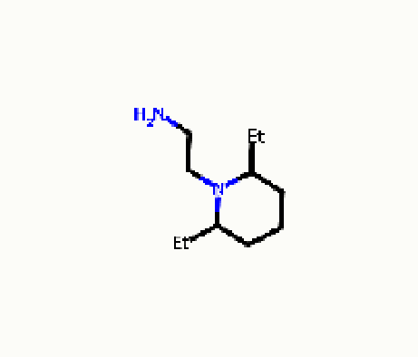 CCC1CCCC(CC)N1CCN